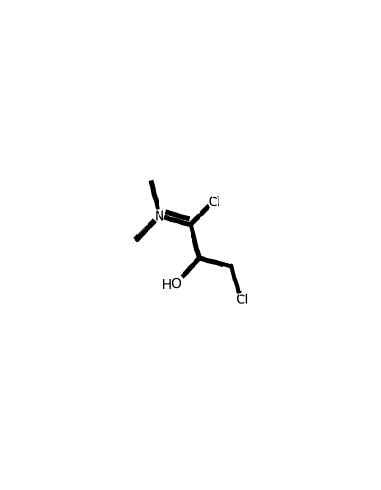 C[N+](C)=C(Cl)C(O)CCl